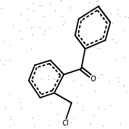 O=C(c1ccccc1)c1ccccc1CCl